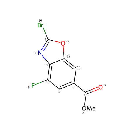 COC(=O)c1cc(F)c2nc(Br)oc2c1